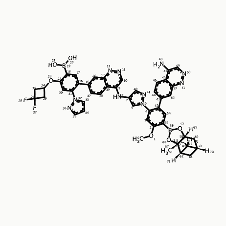 COc1cc(-n2cc(Nc3cnnc4cc(-c5cc(B(O)O)c(OC6CC(F)(F)C6)cc5-n5cccn5)ccc34)cn2)c(-c2ccc3c(N)cnnc3c2)cc1B1O[C@@H]2C[C@@H]3C[C@@H](C3(C)C)[C@]2(C)O1